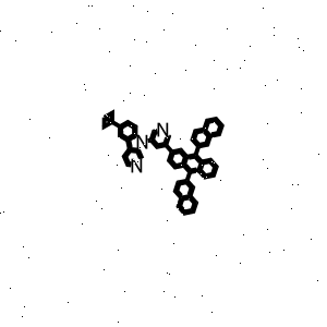 c1ccc2cc(-c3c4ccccc4c(-c4ccc5ccccc5c4)c4cc(-c5cncc(-n6c7ccc(C89CC8C9)cc7c7ccncc76)c5)ccc34)ccc2c1